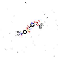 CCCCN(CCCC)C(=O)c1ccc(S(=O)(=O)NC(=O)c2ccc(OC(=O)OC(CC)CC)nc2)cc1